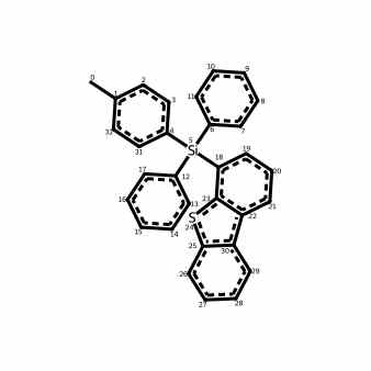 Cc1ccc([Si](c2ccccc2)(c2ccccc2)c2cccc3c2sc2ccccc23)cc1